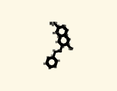 Nc1ncc2cc(Br)c(OCc3ccccc3)cc2n1